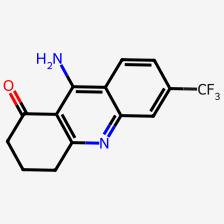 Nc1c2c(nc3cc(C(F)(F)F)ccc13)CCCC2=O